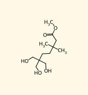 COC(=O)CC(C)(C)CCC(CO)(CO)CO